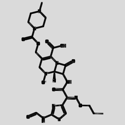 CCCON=C(C(=O)NC1C(=O)N2C(C(=O)O)=C(COC(=O)N3CCN(C)CC3)C[S+]([O-])[C@@H]12)c1csc(NC=O)n1